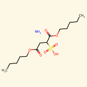 CCCCCOC(=O)CC(C(=O)OCCCCC)S(=O)(=O)O.N